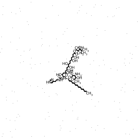 C/C=C/C=C/C=C/C=C/C=C/C=C/[C@@H](C[C@@H]1O[C@](O)(C[C@@H](O)C[C@@H](O)[C@H](O)CC[C@@H](O)C[C@@H](O)CC(=O)O[C@@H](C)[C@H](C)[C@H](O)C(C)C)C[C@H](O)[C@H]1NC(=O)NCCc1c[nH]cn1)O[C@@H]1O[C@H](C)[C@@H](O)[C@H](N)[C@@H]1O